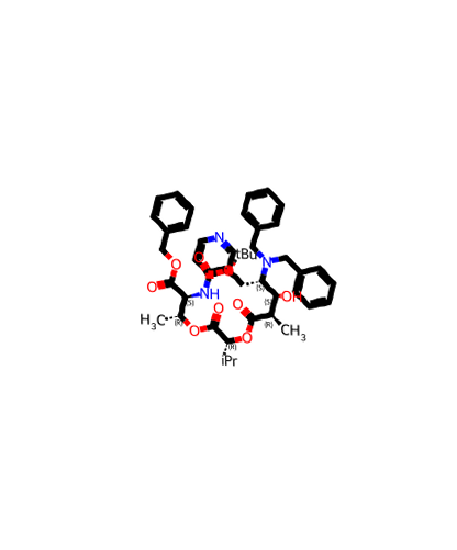 CC(C)[C@@H](OC(=O)[C@H](C)[C@H](O)[C@H](Cc1cccnc1)N(Cc1ccccc1)Cc1ccccc1)C(=O)O[C@H](C)[C@H](NC(=O)OC(C)(C)C)C(=O)OCc1ccccc1